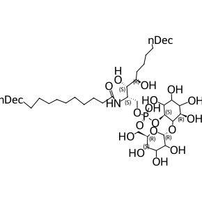 CCCCCCCCCCCCCCCCCCCC(=O)N[C@@H](COP(=O)(O)O[C@H]1C(O)C(O)C(O)[C@@H](O)C1O[C@H]1O[C@H](CO)[C@@H](O)C(O)C1O)[C@H](O)[C@H](O)CCCCCCCCCCCCCC